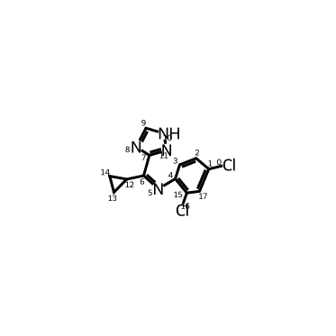 Clc1ccc(N=C(c2nc[nH]n2)C2CC2)c(Cl)c1